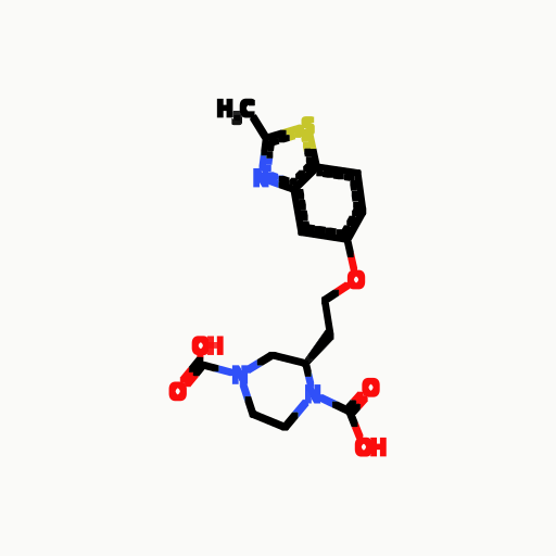 Cc1nc2cc(OCC[C@@H]3CN(C(=O)O)CCN3C(=O)O)ccc2s1